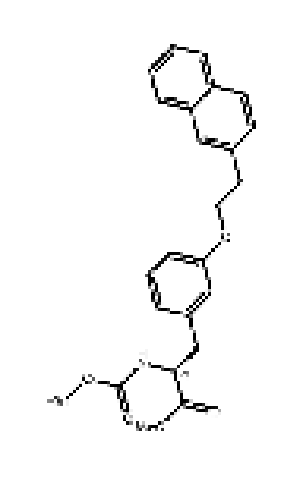 COC(=O)[C@H](Cc1cccc(OCCc2ccc3ccccc3c2)c1)NC(=O)OC(C)(C)C